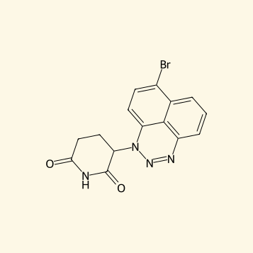 O=C1CCC(N2N=Nc3cccc4c(Br)ccc2c34)C(=O)N1